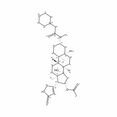 CC(=O)O[C@H]1C[C@]2(O)[C@@H]3CC[C@@H]4C[C@@H](N(C)C(=O)CN5CCOCC5)CC[C@]4(C)[C@H]3CC[C@]2(C)[C@H]1C1=CC(=O)OC1